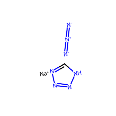 [N-]=[N+]=[N-].[Na+].c1nnn[nH]1